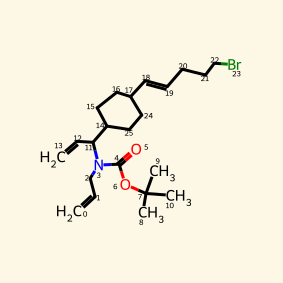 C=CCN(C(=O)OC(C)(C)C)C(C=C)C1CCC(C=CCCCBr)CC1